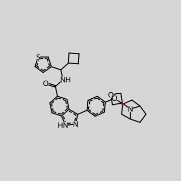 O=C(NC(c1ccsc1)C1CCC1)c1ccc2[nH]nc(-c3ccc(OC4CC5CCC(C4)N5C4COC4)cc3)c2c1